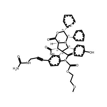 COCCOC(=O)N1C(=O)[C@@]2(c3cc(C#CCNC(N)=O)ccc31)[C@H](C(N)=O)[C@H]1C(=O)O[C@H](c3ccccc3)[C@H](c3ccccc3)N1[C@@H]2c1ccc(O)cc1